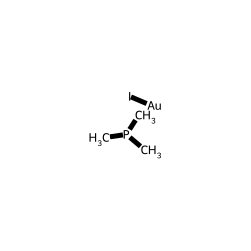 CP(C)C.[I][Au]